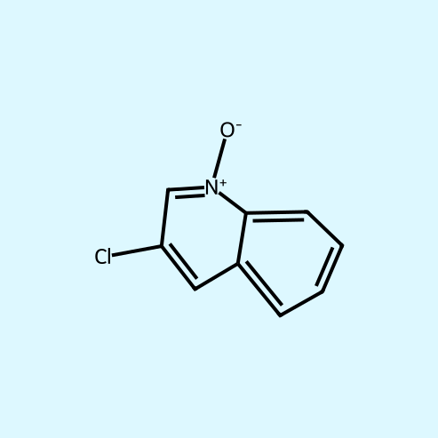 [O-][n+]1cc(Cl)cc2ccccc21